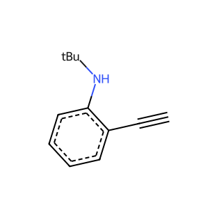 C#Cc1ccccc1NC(C)(C)C